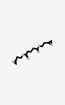 O=C(CCCC(=O)OCCC1CO1)OCCC1CO1